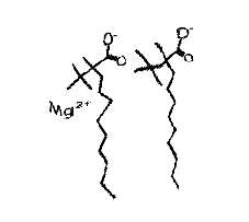 CCCCCCCCCC(C)(C(=O)[O-])C(C)(C)C.CCCCCCCCCC(C)(C(=O)[O-])C(C)(C)C.[Mg+2]